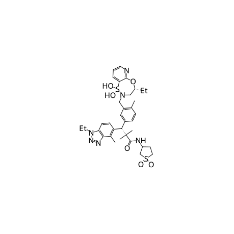 CC[C@@H]1CN(Cc2cc([C@@H](c3ccc4c(nnn4CC)c3C)C(C)(C)C(=O)NC3CCS(=O)(=O)C3)ccc2C)S(O)(O)c2cccnc2O1